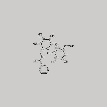 O=C(OC[C@H]1O[C@@H](O[C@H]2[C@H](O)[C@@H](O)[C@@H](O)O[C@@H]2CO)[C@H](O)[C@@H](O)[C@H]1O)c1ccccc1